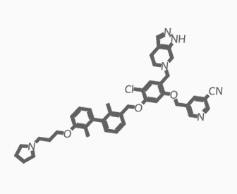 Cc1c(COc2cc(OCc3cncc(C#N)c3)c(CN3CCc4cn[nH]c4C3)cc2Cl)cccc1-c1cccc(OCCCN2CCCC2)c1C